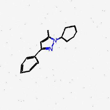 Cc1cc(-c2ccccc2)nn1C1CCCCC1